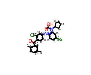 Cc1ccc(C)c(C(=O)c2ccc(Nc3ccc(Br)cc3N(C(=O)O)C3CCCC3)cc2Cl)c1